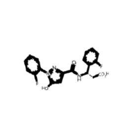 O=C(O)C[C@H](NC(=O)c1cc(O)n(-c2ccccc2F)n1)c1ccccc1F